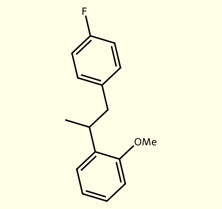 COc1ccccc1C(C)Cc1ccc(F)cc1